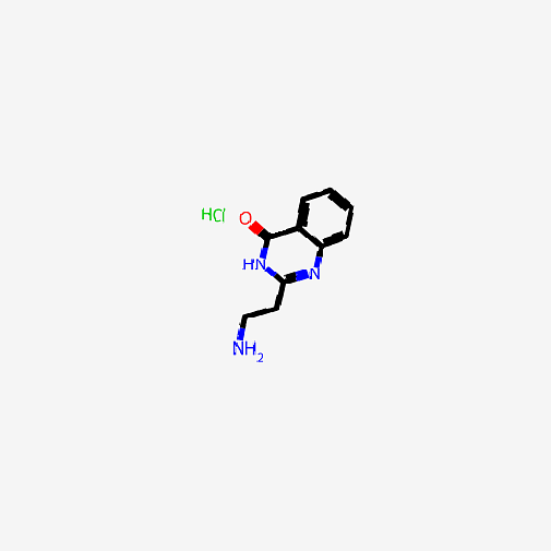 Cl.NCCc1nc2ccccc2c(=O)[nH]1